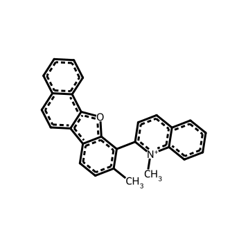 Cc1ccc2c(oc3c4ccccc4ccc23)c1-c1ccc2ccccc2[n+]1C